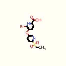 CCS(=O)(=O)c1ccc(Oc2ccc(C(=O)O)nc2Br)cn1